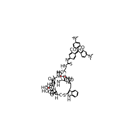 CC1NC(=O)[C@H](C[C@@](C)(O)CNC(=S)N=C2C=CC(=C3c4ccc(N(C)C)cc4Oc4cc(N(C)C)ccc43)C(C(=O)O)=C2)NC(=O)C2Cc3c([nH]c4ccccc34)SC[C@@H](NC(=O)[C@@H]([C@H](C)O)NC1=O)C(=O)N1C[C@H](O)C[C@H]1C(=O)N[C@@H](C)C(=O)N2